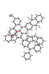 CC(C)(C)c1ccc(N2c3cc4c(cc3B3c5c2cc2c(sc6ccccc62)c5-c2ccc(N(c5ccccc5)c5ccccc5)c5c6c7ccccc7sc6n3c25)C(C)(C)c2ccccc2C4(C)C)c(-c2ccccc2)c1